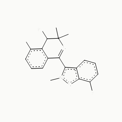 Cn1nc2c(Br)cccc2c1C1=NC(C)(C)C(Br)c2c(F)cccc21